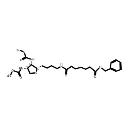 CC(C)(C)OC(=O)N[C@H]1[C@@H](NC(=O)OC(C)(C)C)CS[C@H]1CCCCNC(=O)CCCCCC(=O)OCc1ccccc1